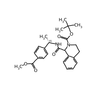 COC(=O)c1ccc([C@H](C)NC(=O)C2c3ccccc3CCN2C(=O)OC(C)(C)C)cc1